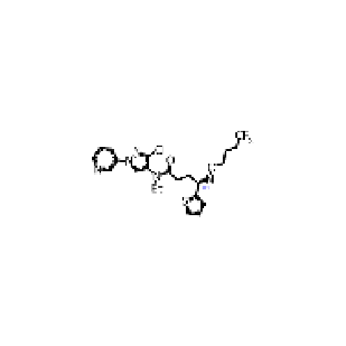 CCN(C(=O)CC/C(=N\OCCCC(F)(F)F)c1cccs1)c1cn(-c2cccnc2)nc1Cl